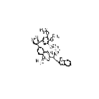 COc1ccc(-c2csnc2-c2cc(OC)c(OC)c(OC)c2)cc1NC(=O)[C@@H](N)Cc1cc2ccccc2o1